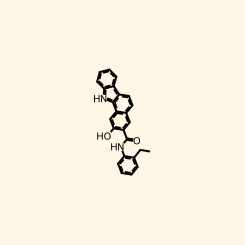 CCc1ccccc1NC(=O)c1cc2ccc3c4ccccc4[nH]c3c2cc1O